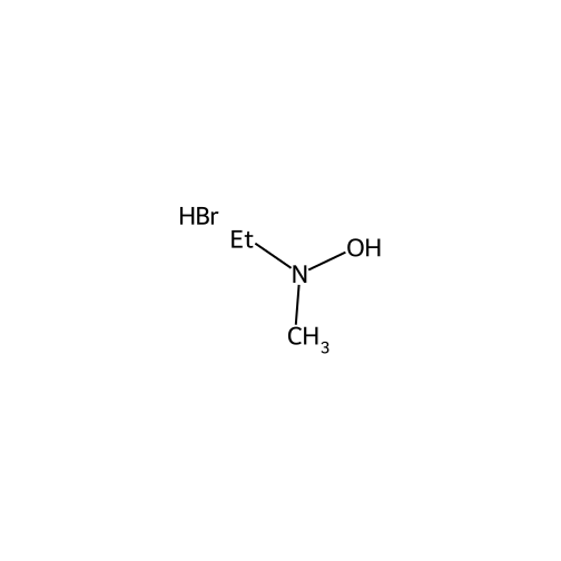 Br.CCN(C)O